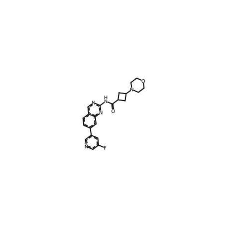 O=C(Nc1ncc2ccc(-c3cncc(F)c3)cc2n1)C1CC(N2CCOCC2)C1